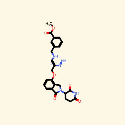 COC(=O)c1cccc(CN/C=C(/COc2cccc3c2CN(C2CCC(=O)NC2=O)C3=O)N=N)c1